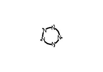 CN1CCCN(C)CCN(C)CCN(C)CCCN(C)CC1